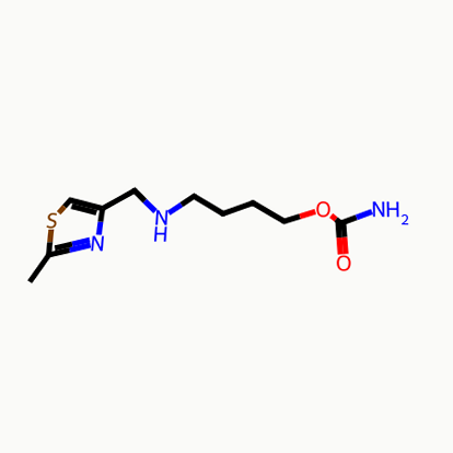 Cc1nc(CNCCCCOC(N)=O)cs1